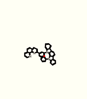 c1ccc(-n2c3ccccc3c3ccc4c5ccccc5n(-c5cccc(-c6ccc7ccc8cccnc8c7n6)c5)c4c32)cc1